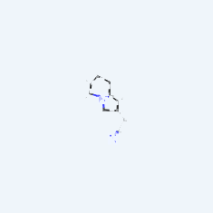 N#CCc1cc2ccccn2c1